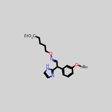 CCCCOc1cccc(C(C=NOCCCCC(=O)OCC)c2ncc[nH]2)c1